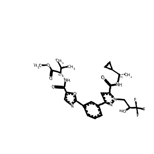 COC(=O)[C@@H](NC(=O)c1cnc(-c2cccc(-c3cc(C(=O)N[C@@H](C)C4CC4)n(CC(O)C(F)(F)F)n3)c2)o1)C(C)C